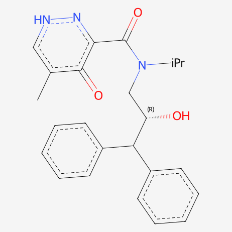 Cc1c[nH]nc(C(=O)N(C[C@H](O)C(c2ccccc2)c2ccccc2)C(C)C)c1=O